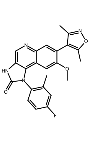 COc1cc2c(cc1-c1c(C)noc1C)ncc1[nH]c(=O)n(-c3ccc(F)cc3C)c12